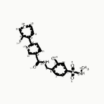 CNS(=O)(=O)c1ccc(CNC(=O)c2ccc(-c3ccccc3F)nc2)c(Cl)c1